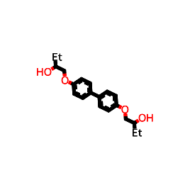 CCC(O)COc1ccc(-c2ccc(OCC(O)CC)cc2)cc1